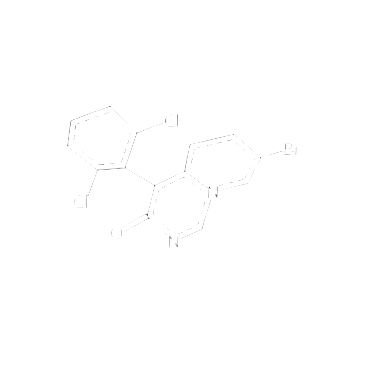 O=c1ncn2cc(Br)ccc2c1-c1c(Cl)cccc1Cl